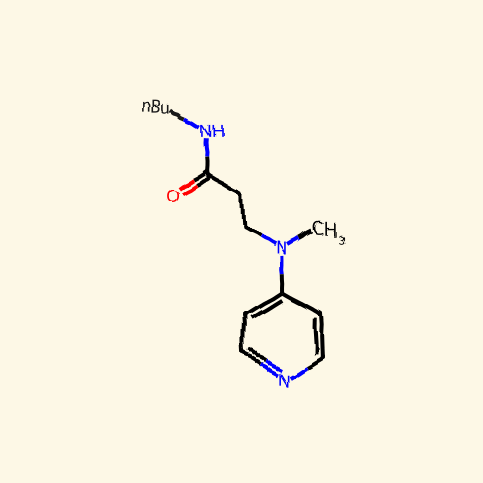 CCCCNC(=O)CCN(C)c1ccncc1